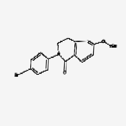 CCCCOc1ccc2c(c1)CCN(c1ccc(Br)cc1)C2=O